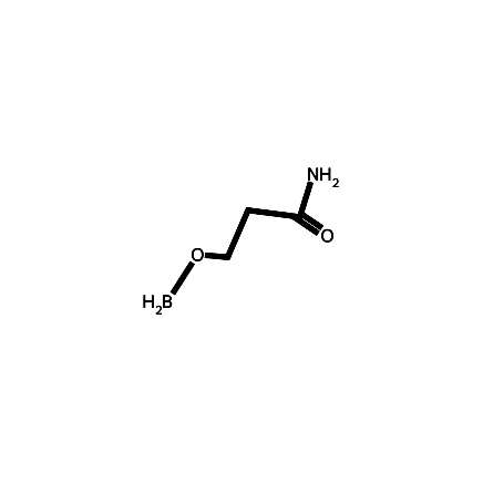 BOCCC(N)=O